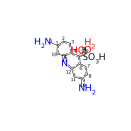 Nc1ccc2cc3ccc(N)cc3nc2c1.O.O=S(=O)(O)O